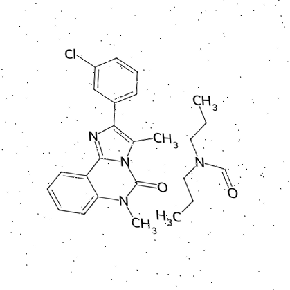 CCCN(C=O)CCC.Cc1c(-c2cccc(Cl)c2)nc2c3ccccc3n(C)c(=O)n12